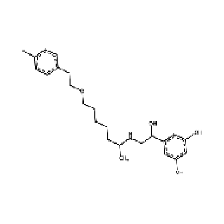 CC(CCCCCOCCc1ccc(F)cc1)NCC(O)c1cc(O)cc(O)c1